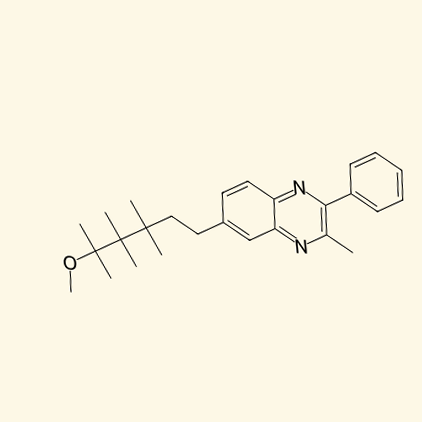 COC(C)(C)C(C)(C)C(C)(C)CCc1ccc2nc(-c3ccccc3)c(C)nc2c1